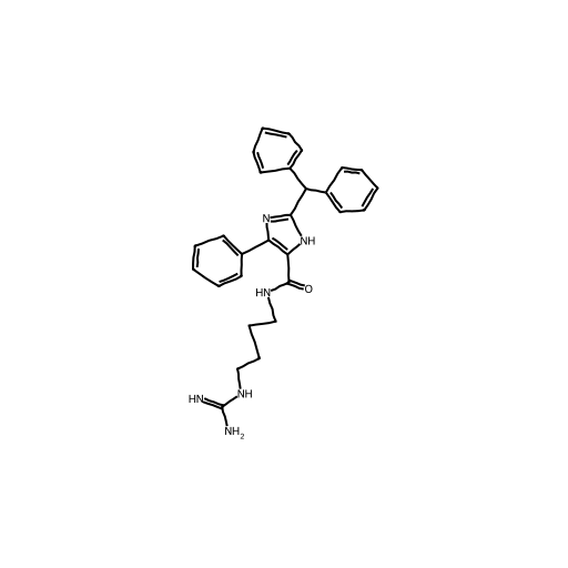 N=C(N)NCCCCNC(=O)c1[nH]c(C(c2ccccc2)c2ccccc2)nc1-c1ccccc1